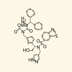 COC(=O)N(Cc1ccc([C@H](CO)N(Cc2cn[nH]c2)S(=O)(=O)c2ccc3ncsc3c2)s1)C(=O)[C@@H](N)C(c1ccccc1)c1ccccc1